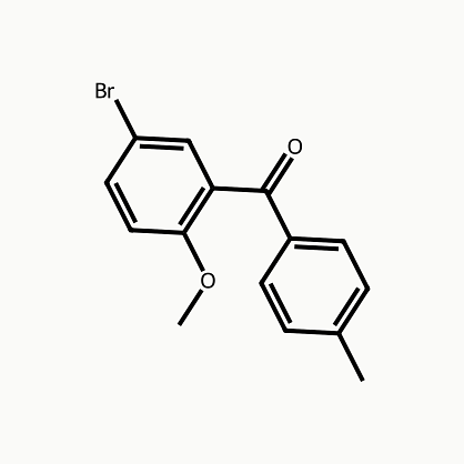 COc1ccc(Br)cc1C(=O)c1ccc(C)cc1